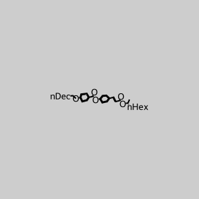 CCCCCCCCCCCOc1ccc(C(=O)Oc2ccc(C=CC(=O)O[C@H](C)CCCCCC)cc2)cc1